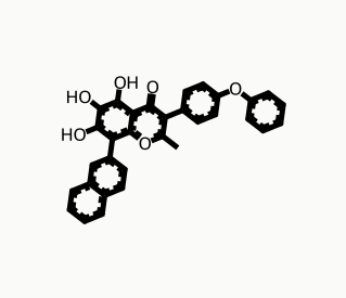 Cc1oc2c(-c3ccc4ccccc4c3)c(O)c(O)c(O)c2c(=O)c1-c1ccc(Oc2ccccc2)cc1